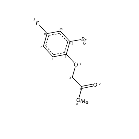 COC(=O)COc1ccc(F)cc1Br